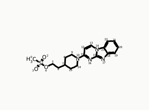 CS(=O)(=O)OCCC1CCN(c2ccn3c(n2)nc2ccccc23)CC1